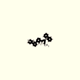 C=C/C=C(\C=C(/C)c1cccc(-c2cccc3c2sc2cnccc23)c1)n1c2ccccc2c2ccccc21